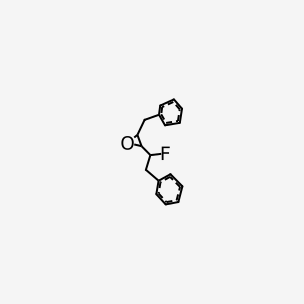 FC(Cc1ccccc1)C1OC1Cc1ccccc1